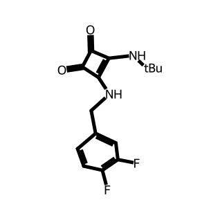 CC(C)(C)Nc1c(NCc2ccc(F)c(F)c2)c(=O)c1=O